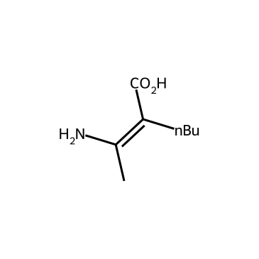 CCCC/C(C(=O)O)=C(\C)N